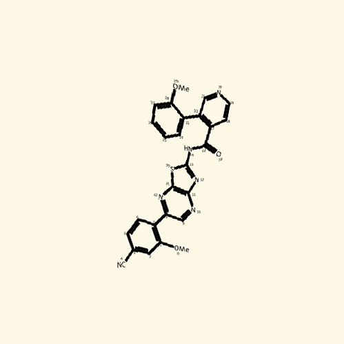 COc1cc(C#N)ccc1-c1cnc2nc(NC(=O)c3ccncc3-c3ccccc3OC)sc2n1